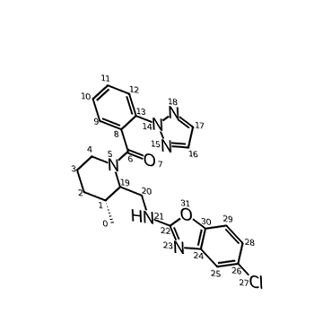 C[C@@H]1CCCN(C(=O)c2ccccc2-n2nccn2)C1CNc1nc2cc(Cl)ccc2o1